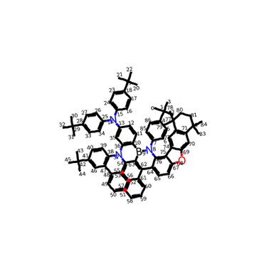 CC(C)(C)c1ccc(N2B3c4ccc(N(c5ccc(C(C)(C)C)cc5)c5ccc(C(C)(C)C)cc5)cc4N(c4ccc(C(C)(C)C)cc4-c4ccccc4)c4cc5ccccc5c(c43)-c3ccc4oc5cc6c(cc5c4c32)C(C)(C)CCC6(C)C)cc1